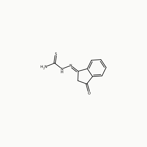 NC(=S)NN=C1CC(=O)c2ccccc21